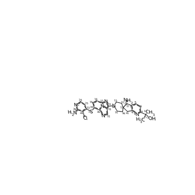 CC(C)(O)c1ccc2c(n1)CC1(CCN(c3nc4ccc(Sc5ccnc(N)c5Cl)c5ncc3n45)CC1)[C@@H]2N